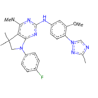 CNc1nc(Nc2ccc(-n3cnc(C)n3)c(OC)c2)nc2c1C(C)(C)CN2c1ccc(F)cc1